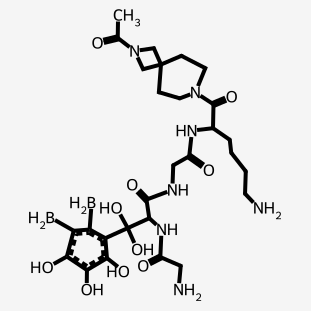 Bc1c(B)c(C(O)(O)C(NC(=O)CN)C(=O)NCC(=O)NC(CCCCN)C(=O)N2CCC3(CC2)CN(C(C)=O)C3)c(O)c(O)c1O